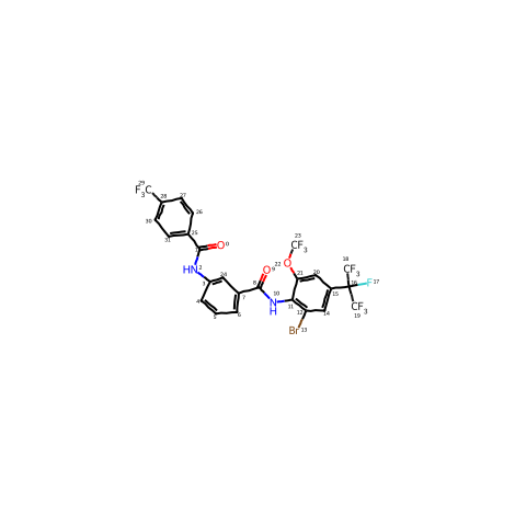 O=C(Nc1cccc(C(=O)Nc2c(Br)cc(C(F)(C(F)(F)F)C(F)(F)F)cc2OC(F)(F)F)c1)c1ccc(C(F)(F)F)cc1